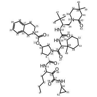 CCCCC(NC(=O)[C@@H]1C[C@@H](OC(=O)N2CCc3ccccc3C2)CN1C(=O)[C@@H](NC(=O)N[C@H](CN1CCC(C)(C)CC1=O)C(C)(C)C)C1(C)CCCCC1)C(=O)C(=O)NC1CC1